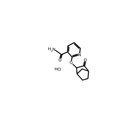 Cl.NC(=O)c1cccnc1OC1C(=O)C2CCC1C2